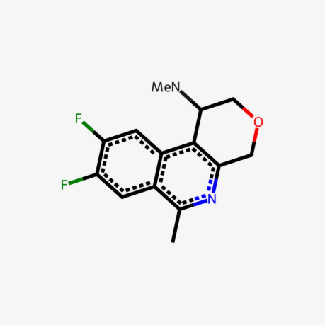 CNC1COCc2nc(C)c3cc(F)c(F)cc3c21